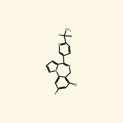 CC(F)(F)c1ccc(C2=NCc3c(Cl)cc(F)cc3-n3cccc32)cn1